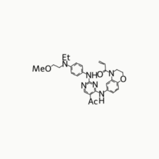 C=CC(=O)N1CCOc2ccc(Nc3nc(Nc4ccc(N(CC)CCOC)cc4)ncc3C(C)=O)cc21